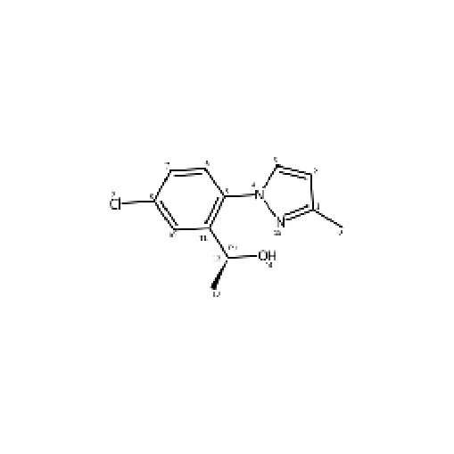 Cc1ccn(-c2ccc(Cl)cc2[C@H](C)O)n1